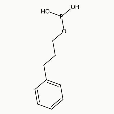 OP(O)OCCCc1ccccc1